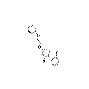 O=c1cc(OCCOc2ccccc2)ccn1-c1ccccc1F